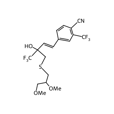 COCC(CSCC(O)(/C=C/c1ccc(C#N)c(C(F)(F)F)c1)C(F)(F)F)OC